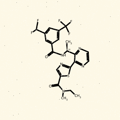 CCN(C)C(=O)c1cnc(-c2nccnc2[C@H](C)NC(=O)c2cc(C(F)F)cc(C(F)(F)F)c2)s1